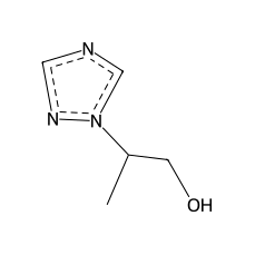 CC(CO)n1cncn1